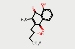 CC1=C(C[C@H](O)CC(=O)O)C(=O)c2cccc(O)c2C1=O